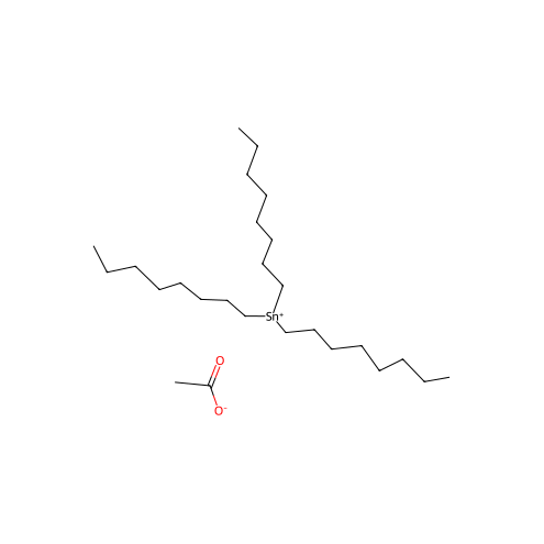 CC(=O)[O-].CCCCCCC[CH2][Sn+]([CH2]CCCCCCC)[CH2]CCCCCCC